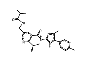 Cc1ccc(-c2[nH]c(NC(=O)c3cc(CNC(=O)C(C)C)cnc3C(F)F)nc2C)cc1